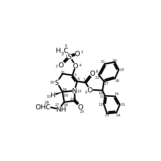 CS(=O)(=O)OC1=C(C(=O)OC(c2ccccc2)c2ccccc2)N2C(=O)C(NC=O)[C@@H]2SC1